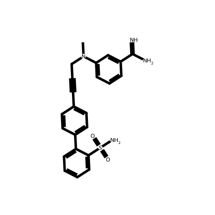 CN(CC#Cc1ccc(-c2ccccc2S(N)(=O)=O)cc1)c1cccc(C(=N)N)c1